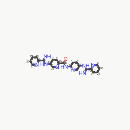 N=C(Nc1ccc(NC(=O)c2ccc(NC(=N)c3ccccn3)cn2)nc1)c1ccccn1